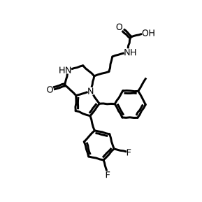 Cc1cccc(-c2c(-c3ccc(F)c(F)c3)cc3n2C(CCNC(=O)O)CNC3=O)c1